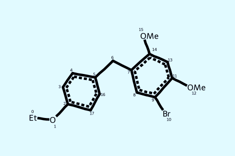 CCOc1ccc(Cc2cc(Br)c(OC)cc2OC)cc1